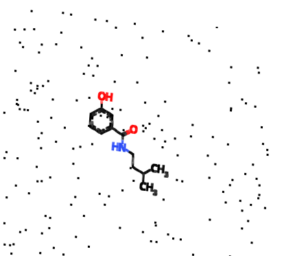 CC(C)CCNC(=O)c1cccc(O)c1